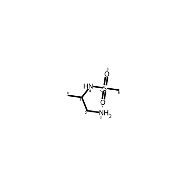 CC(CN)NS(C)(=O)=O